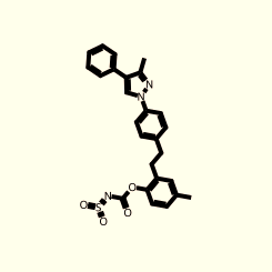 Cc1ccc(OC(=O)N=S(=O)=O)c(CCc2ccc(-n3cc(-c4ccccc4)c(C)n3)cc2)c1